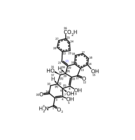 NC(=O)C1=C(O)[C@@]2(O)C(O)=C3C(=O)c4c(O)cccc4/C(=C\c4ccc(C(=O)O)cc4)[C@H]3[C@H](O)[C@H]2CC1=O